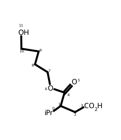 CC(C)C(CC(=O)O)C(=O)OCCCCO